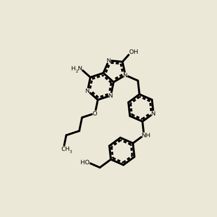 CCCCOc1nc(N)c2nc(O)n(Cc3ccc(Nc4ccc(CO)cc4)nc3)c2n1